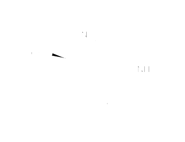 CC(CN)C[C@H](N)C=O